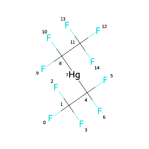 FC(F)(F)[C](F)(F)[Hg][C](F)(F)C(F)(F)F